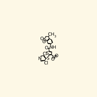 CC1CS(=O)(=O)c2cc(NC(=O)c3cc([N+](=O)[O-])c(Sc4c(Cl)cncc4Cl)s3)ccc21